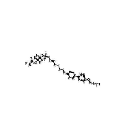 CCCCCCCOc1cnc(-c2ccc(OCCCCCOCC(F)(F)OC(F)(F)C(F)(F)OC(F)C(F)(F)F)cc2)nc1